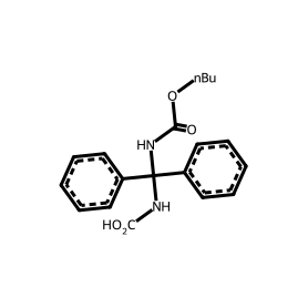 CCCCOC(=O)NC(NC(=O)O)(c1ccccc1)c1ccccc1